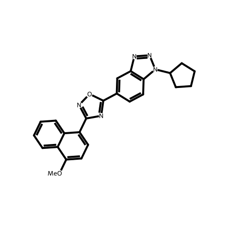 COc1ccc(-c2noc(-c3ccc4c(c3)nnn4C3CCCC3)n2)c2ccccc12